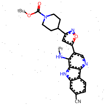 CC(C)Nc1c(-c2cc(C3CCN(C(=O)OC(C)(C)C)CC3)no2)cnc2c1[nH]c1cc(C#N)ccc12